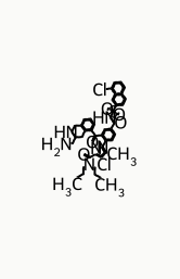 CCCCN(CCCC)C(=O)c1nn(-c2ccc(C(=O)NS(=O)(=O)c3ccc4cccc(Cl)c4c3)cc2C(=O)c2cccc3c2CC(CN)NC3)c(C)c1Cl